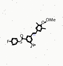 COCOc1c(C)cc(/C=C/c2cc(C(=O)Sc3ccc(F)cc3)cc(N(C)C)c2)cc1C